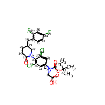 CC(C)(C)OC(=O)N(CC(=O)O)c1cc(Cl)c(N2CC(Cc3ccc(F)cc3F)CCC2=O)c(Cl)c1